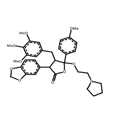 COc1ccc(C2(OCCN3CCCC3)OC(=O)C(c3ccc4c(c3)OCO4)C2Cc2cc(OC)c(OC)c(OC)c2)cc1